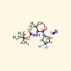 CC(C)[C@H](NC(=O)OC(C)(C)C)C(=O)N1CC(F)(F)C[C@H]1C#N